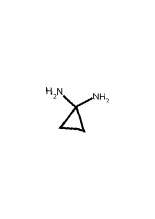 NC1(N)CC1